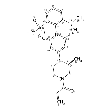 C=CC(=O)N1CCN(c2cc(F)n(-c3c(C(C)C)ccnc3S(C)(=O)=O)c(=O)c2)[C@@H](C)C1